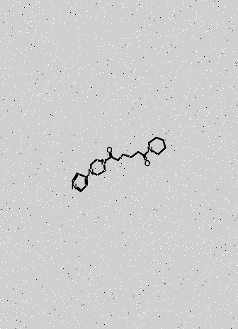 O=C(CCCCC(=O)N1CCN(c2ccncc2)CC1)N1CC[CH]CC1